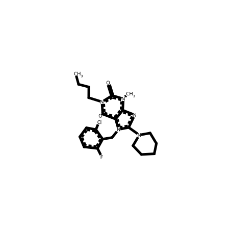 CCCCn1c(=O)c2c(nc(N3CCCCC3)n2Cc2c(F)cccc2Cl)n(C)c1=O